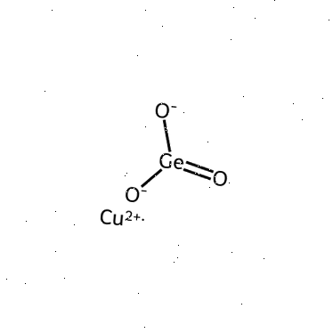 [Cu+2].[O]=[Ge]([O-])[O-]